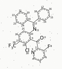 O=C(c1ncccc1F)c1c(N=C(c2ccccc2)c2ccccc2)ccc(C(F)(F)F)c1Cl